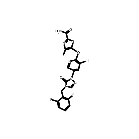 Cc1nc(C(N)=O)sc1Oc1ncc(-n2ncn(Cc3c(F)cccc3F)c2=O)cc1Cl